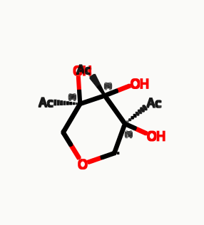 CC(=O)[C@@]1(O)[C@](O)(C(C)=O)[CH]OC[C@]1(O)C(C)=O